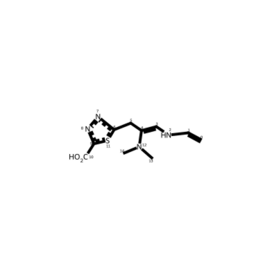 C=CN/C=C(/Cc1nnc(C(=O)O)s1)N(C)C